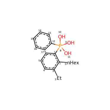 CCCCCCc1c(CC)cccc1P(O)(O)(O)c1ccccc1